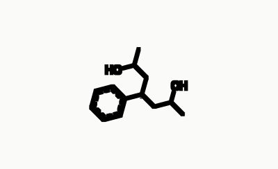 CC(O)C[C](CC(C)O)c1ccccc1